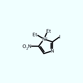 CC[N+]1(CC)C([N+](=O)[O-])=CN=C1I